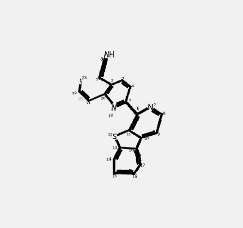 N=Cc1ccc(-c2nccc3c2sc2ccccc23)nc1/C=C\I